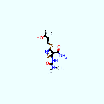 CC(O)CCSc1nsc(NC(=O)N(C)C)c1C(N)=O